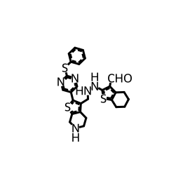 O=Cc1c(NNCc2c(-c3cnc(Sc4ccccc4)nc3)sc3c2CCNC3)sc2c1CCCC2